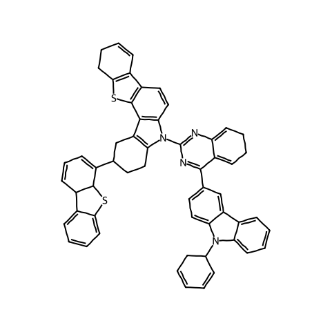 C1=CCC(n2c3ccccc3c3cc(-c4nc(-n5c6c(c7c8sc9c(c8ccc75)C=CCC9)CC(C5=CC=CC7c8ccccc8SC57)CC6)nc5c4=CCCC=5)ccc32)C=C1